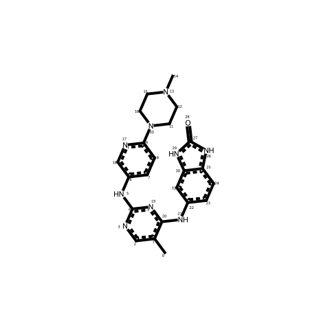 Cc1cnc(Nc2ccc(N3CCN(C)CC3)nc2)nc1Nc1ccc2[nH]c(=O)[nH]c2c1